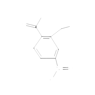 CCc1cc([N+](=O)[O-])ccc1C(=O)Cl